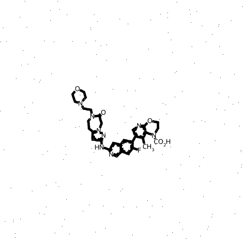 Cc1c(-c2cc3cc(Nc4cc5n(n4)CC(=O)N(CCN4CCOCC4)CC5)ncc3cc2F)cnc2c1N(C(=O)O)CCO2